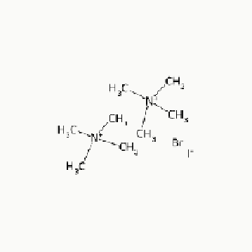 C[N+](C)(C)C.C[N+](C)(C)C.[Br-].[I-]